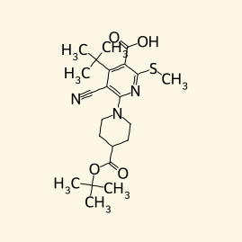 CSc1nc(N2CCC(C(=O)OC(C)(C)C)CC2)c(C#N)c(C(C)(C)C)c1C(=O)O